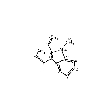 C=Cc1c(/C=C\C)c2ccccc2n1C